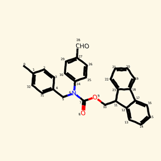 Cc1ccc(CN(C(=O)OCC2c3ccccc3-c3ccccc32)c2ccc(C=O)cc2)cc1